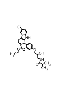 CCOC(=O)N1CCC2=C(NC3C=CC(Cl)=CC23)C1c1ccc(OCC(O)CNC(=O)C(C)C)cc1